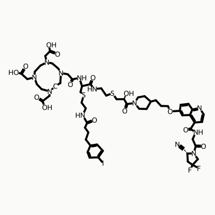 N#C[C@H]1CC(F)(F)CN1C(=O)CNC(=O)c1ccnc2ccc(OCCCC3CCN(C(=O)[C@H](O)CSCCNC(=O)C(CSCCNC(=O)CCCc4ccc(I)cc4)NC(=O)CN4CCN(CC(=O)O)CCN(CC(=O)O)CCN(CC(=O)O)CC4)CC3)cc12